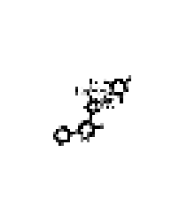 COC(=O)c1cc(-c2cc(-c3ccccc3)ncc2C)cn1S(=O)(=O)c1c(C)cc(C)cc1C